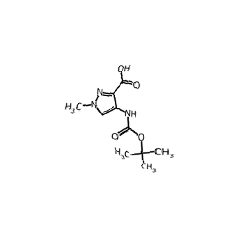 Cn1cc(NC(=O)OC(C)(C)C)c(C(=O)O)n1